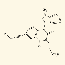 CC(C)CC#Cc1ccc2c(c1)c(=O)n(CCC(=O)O)c(=O)n2-c1cn(C)c2ccccc12